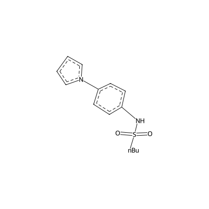 CCCCS(=O)(=O)Nc1ccc(-n2cccc2)cc1